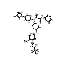 Cn1cc(-c2ccc(C(C(=O)NCc3ccccc3)[C@H]3CC[C@H](Cc4ncc(C#N)c(C5CC(S(C)(=O)=O)C5)n4)CC3)nc2)cn1